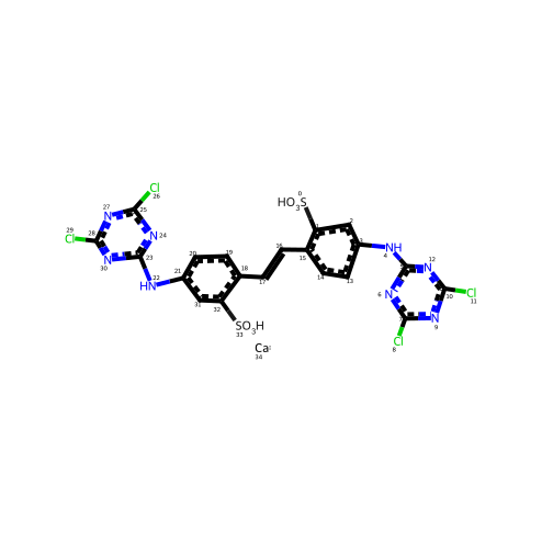 O=S(=O)(O)c1cc(Nc2nc(Cl)nc(Cl)n2)ccc1C=Cc1ccc(Nc2nc(Cl)nc(Cl)n2)cc1S(=O)(=O)O.[Ca]